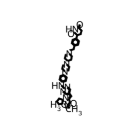 CN(C)C(=O)c1cc2cnc(Nc3ccc(N4CCN(C5CCN(CCc6ccc(C7CCC(=O)NC7=O)cc6)CC5)CC4)cc3)nc2n1C1CCCC1